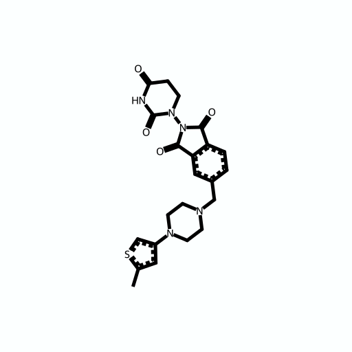 Cc1cc(N2CCN(Cc3ccc4c(c3)C(=O)N(N3CCC(=O)NC3=O)C4=O)CC2)cs1